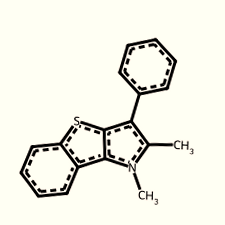 Cc1c(-c2ccccc2)c2sc3ccccc3c2n1C